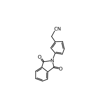 N#CCc1cccc(N2C(=O)c3ccccc3C2=O)c1